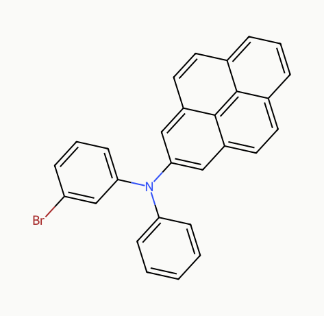 Brc1cccc(N(c2ccccc2)c2cc3ccc4cccc5ccc(c2)c3c45)c1